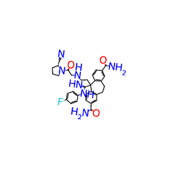 N#C[C@@H]1CCCN1C(=O)CNCCC1(C(=N)Nc2ccc(F)cc2)c2ccc(C(N)=O)cc2CCc2cc(C(N)=O)ccc21